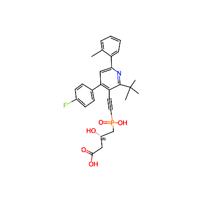 Cc1ccccc1-c1cc(-c2ccc(F)cc2)c(C#CP(=O)(O)C[C@@H](O)CC(=O)O)c(C(C)(C)C)n1